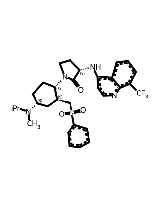 CC(C)N(C)[C@@H]1CC[C@H](N2CC[C@H](Nc3ccnc4c(C(F)(F)F)cccc34)C2=O)[C@@H](CS(=O)(=O)c2ccccc2)C1